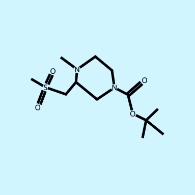 CN1CCN(C(=O)OC(C)(C)C)CC1CS(C)(=O)=O